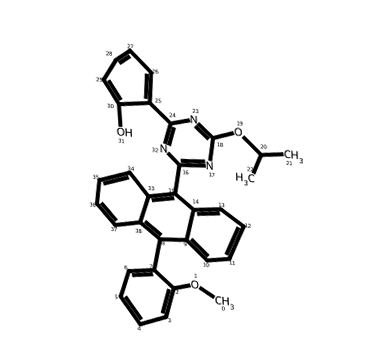 COc1ccccc1-c1c2ccccc2c(-c2nc(OC(C)C)nc(-c3ccccc3O)n2)c2ccccc12